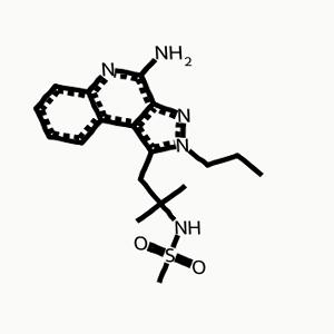 CCCn1nc2c(N)nc3ccccc3c2c1CC(C)(C)NS(C)(=O)=O